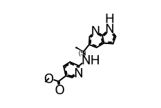 COC(=O)c1ccc(N[C@@H](C)c2cnc3[nH]ccc3c2)nc1